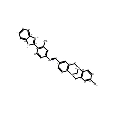 Oc1cc(/N=C/c2ccc3c(c2)CN2CN3Cc3cc(Br)ccc32)ccc1-c1nc2ccccc2o1